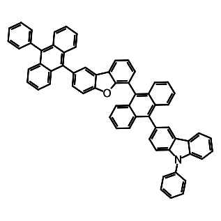 c1ccc(-c2c3ccccc3c(-c3ccc4oc5c(-c6c7ccccc7c(-c7ccc8c(c7)c7ccccc7n8-c7ccccc7)c7ccccc67)cccc5c4c3)c3ccccc23)cc1